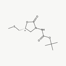 CSC[C@H]1CN(NC(=O)OC(C)(C)C)C(=O)O1